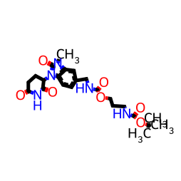 Cn1c(=O)n(C2CCC(=O)NC2=O)c2ccc(CNC(=O)OCCCNC(=O)OC(C)(C)C)cc21